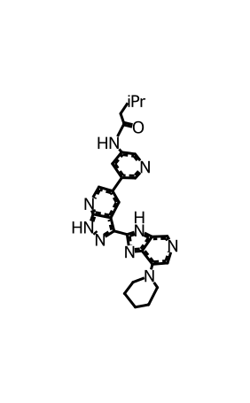 CC(C)CC(=O)Nc1cncc(-c2cnc3[nH]nc(-c4nc5c(N6CCCCC6)cncc5[nH]4)c3c2)c1